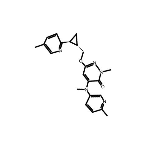 Cc1ccc([C@H]2C[C@@H]2COc2cc(N(C)c3ccc(C)nc3)c(=O)n(C)n2)nc1